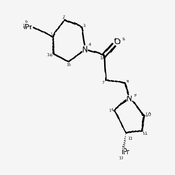 CC(C)C1CCN(C(=O)CCN2CC[C@H](C(C)C)C2)CC1